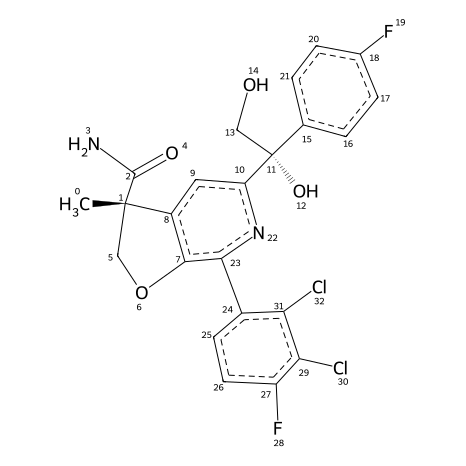 C[C@]1(C(N)=O)COc2c1cc([C@@](O)(CO)c1ccc(F)cc1)nc2-c1ccc(F)c(Cl)c1Cl